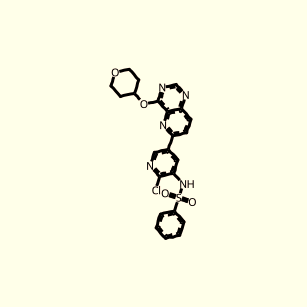 O=S(=O)(Nc1cc(-c2ccc3ncnc(OC4CCOCC4)c3n2)cnc1Cl)c1ccccc1